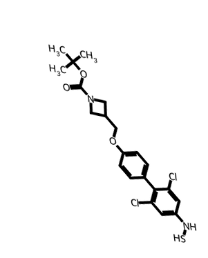 CC(C)(C)OC(=O)N1CC(COc2ccc(-c3c(Cl)cc(NS)cc3Cl)cc2)C1